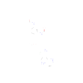 COc1ccc2ncc(F)c(CN(CCCO[Si](C)(C)C(C)(C)C)CCC[C@@H]3CN(c4ccc5c(c4)NC(=O)CO5)C(=O)O3)c2n1